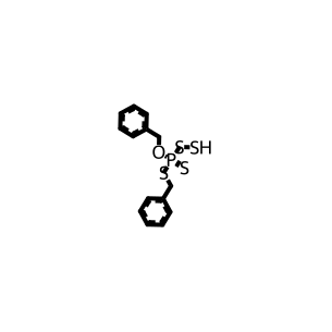 S=P(OCc1ccccc1)(SS)SCc1ccccc1